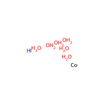 I.O.O.O.O.O.O.[Co]